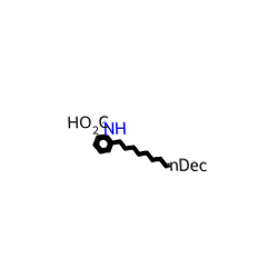 CCCCCCCCCCCCCCCCCCc1ccccc1NC(=O)O